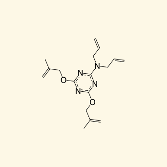 C=CCN(CC=C)c1nc(OCC(=C)C)nc(OCC(=C)C)n1